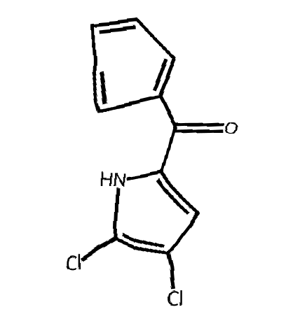 O=C(c1ccccc1)c1cc(Cl)c(Cl)[nH]1